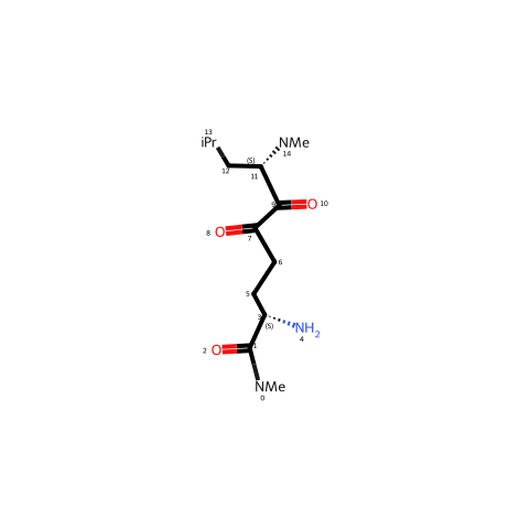 CNC(=O)[C@@H](N)CCC(=O)C(=O)[C@H](CC(C)C)NC